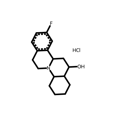 Cl.OC1CC2c3cc(F)ccc3CCN2C2CCCCC12